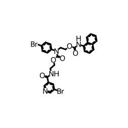 O=C(Nc1cccc2ccccc12)OCCN(C(=O)OCCNC(=O)c1cncc(Br)c1)c1ccc(Br)cc1